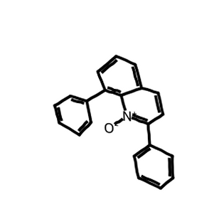 [O-][n+]1c(-c2ccccc2)ccc2cccc(-c3ccccc3)c21